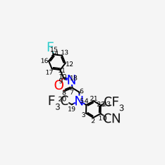 N#Cc1ccc(N(Cc2coc(-c3ccc(F)cc3)n2)CC(F)(F)F)cc1C(F)(F)F